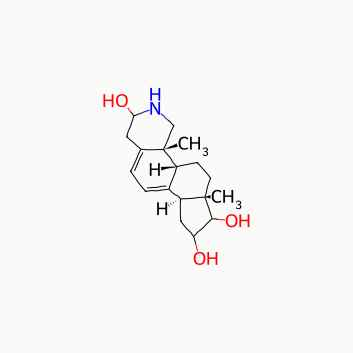 C[C@]12CNC(O)CC1=CC=C1[C@H]2CC[C@]2(C)C(O)C(O)C[C@@H]12